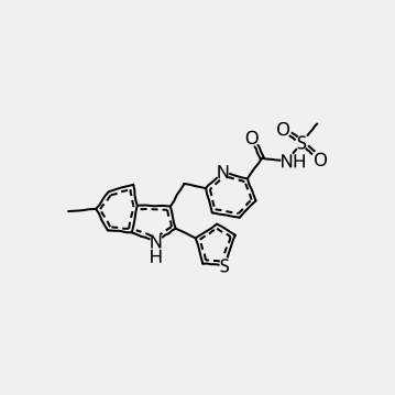 Cc1ccc2c(Cc3cccc(C(=O)NS(C)(=O)=O)n3)c(-c3ccsc3)[nH]c2c1